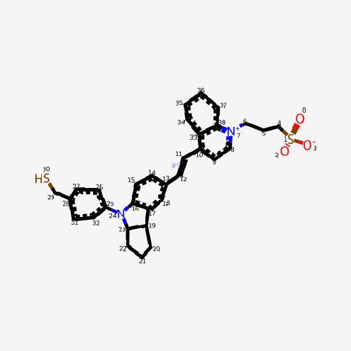 O=S(=O)([O-])CCC[n+]1ccc(/C=C/c2ccc3c(c2)C2CCCC2N3c2ccc(CS)cc2)c2ccccc21